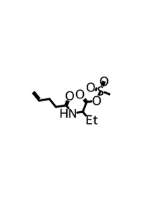 C=CCCC(=O)NC(CC)C(=O)OS(C)(=O)=O